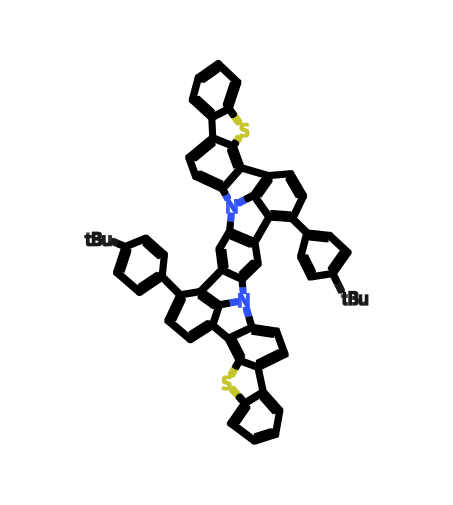 CC(C)(C)c1ccc(-c2ccc3c4c5sc6ccccc6c5ccc4n4c5cc6c7c(-c8ccc(C(C)(C)C)cc8)ccc8c9c%10sc%11ccccc%11c%10ccc9n(c6cc5c2c34)c87)cc1